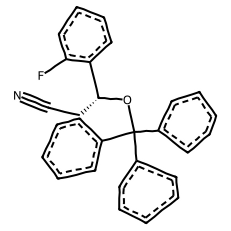 N#CC[C@@H](OC(c1ccccc1)(c1ccccc1)c1ccccc1)c1ccccc1F